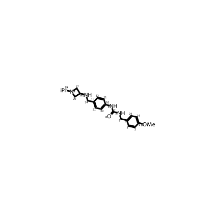 COc1ccc(CNC(=O)Nc2ccc(CNC3CN(C(C)C)C3)cc2)cc1